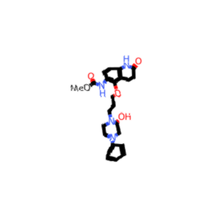 COC(=O)Nc1ccc2c(c1OCCCN1CCN(c3ccccc3)CC1O)CCC(=O)N2